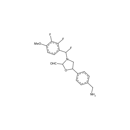 COc1ccc(C(F)N2CC(c3ccc(CN)cc3)OC2C=O)c(F)c1F